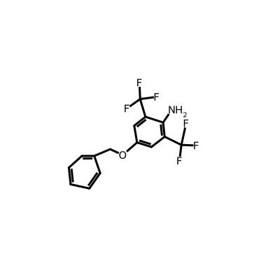 Nc1c(C(F)(F)F)cc(OCc2ccccc2)cc1C(F)(F)F